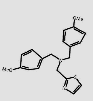 COc1ccc(CN(Cc2ccc(OC)cc2)Cc2nccs2)cc1